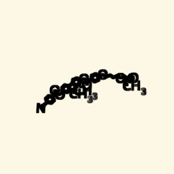 CCC1(COCCCCOc2ccc(C(=O)Oc3ccc4c(c3)C(C)(C)c3cc(OC(=O)c5ccc(C#N)cc5)ccc3-4)cc2)COC1